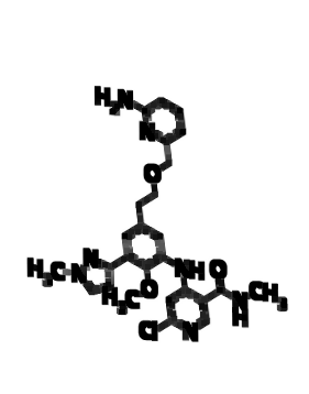 CNC(=O)c1cnc(Cl)cc1Nc1cc(CCOCc2cccc(N)n2)cc(-c2ccn(C)n2)c1OC